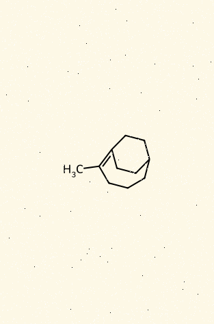 CC1=C2CCC(CCC1)CC2